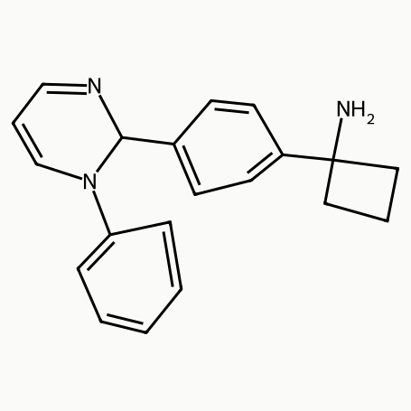 NC1(c2ccc(C3N=CC=CN3c3ccccc3)cc2)CCC1